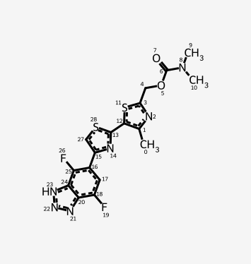 Cc1nc(COC(=O)N(C)C)sc1-c1nc(-c2cc(F)c3nn[nH]c3c2F)cs1